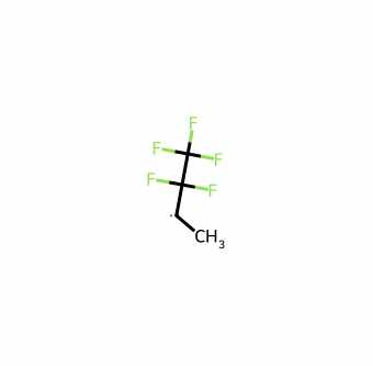 C[CH]C(F)(F)C(F)(F)F